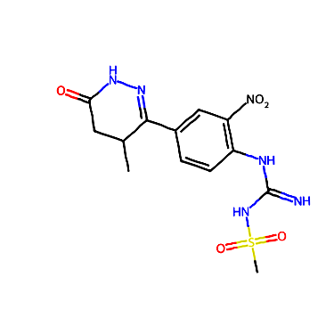 CC1CC(=O)NN=C1c1ccc(NC(=N)NS(C)(=O)=O)c([N+](=O)[O-])c1